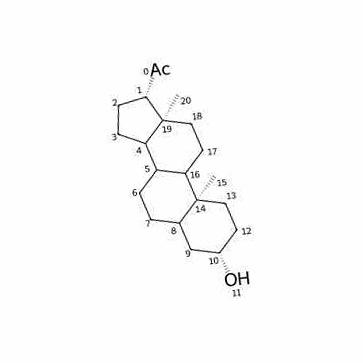 CC(=O)[C@H]1CCC2C3CCC4C[C@@H](O)CC[C@]4(C)C3CC[C@@]21C